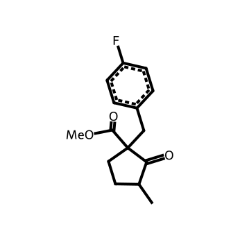 COC(=O)C1(Cc2ccc(F)cc2)CCC(C)C1=O